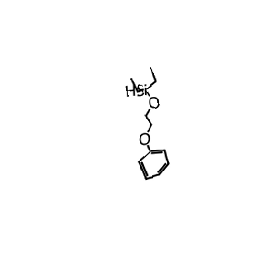 CC[SiH](CC)OCCOc1ccccc1